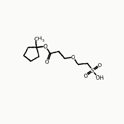 CC1(OC(=O)CCOCCS(=O)(=O)O)CCCC1